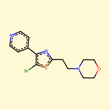 Brc1sc(CCN2CCOCC2)nc1-c1ccncc1